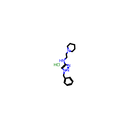 Cl.c1ccc(Cn2cc(NCCN3CCCCC3)nn2)cc1